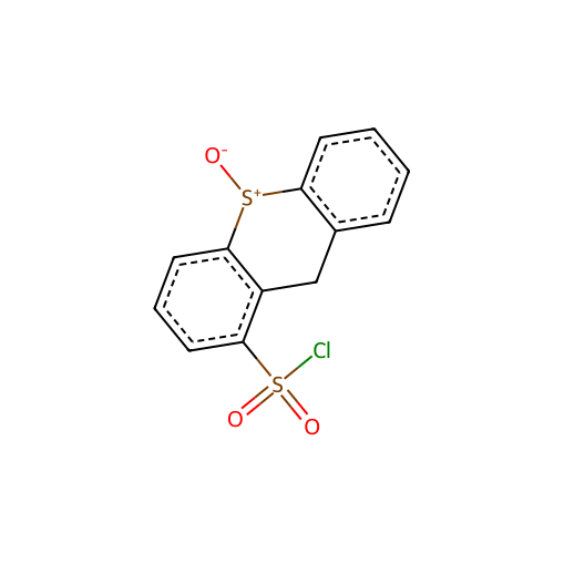 O=S(=O)(Cl)c1cccc2c1Cc1ccccc1[S+]2[O-]